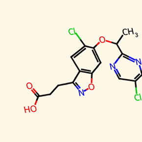 CC(Oc1cc2onc(CCC(=O)O)c2cc1Cl)c1ncc(Cl)cn1